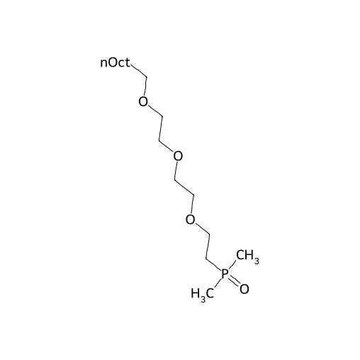 CCCCCCCCCOCCOCCOCCP(C)(C)=O